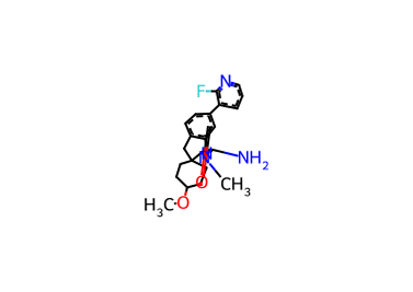 COC1CCC2(CC1)Cc1ccc(-c3cccnc3F)cc1C21N=C(N)N(C)C1=O